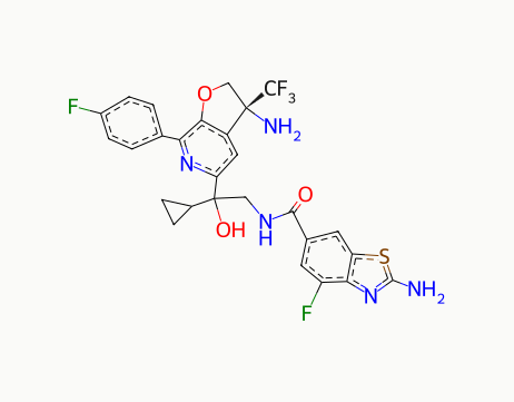 Nc1nc2c(F)cc(C(=O)NCC(O)(c3cc4c(c(-c5ccc(F)cc5)n3)OC[C@@]4(N)C(F)(F)F)C3CC3)cc2s1